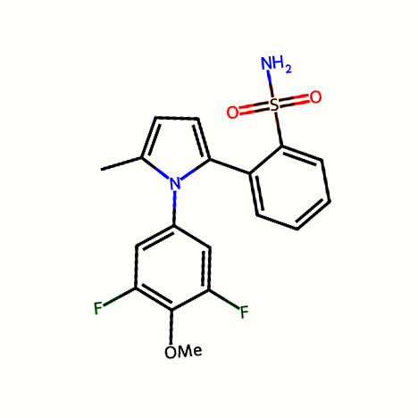 COc1c(F)cc(-n2c(C)ccc2-c2ccccc2S(N)(=O)=O)cc1F